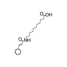 O=C(O)CCCCCCCCCCNC(=O)/C=C/c1ccccc1